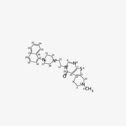 CN1CCc2c(sc3ncn(CCN4CCN(c5cccc6ccccc56)CC4)c(=O)c23)C1